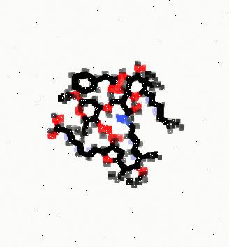 C/C=C/C=C/C1OC(O)(C(COC2CC(OC)OC(C)C2O)C(=O)NC/C=C/C=C(\C)C(OC)C(C)C2CC(O)C(/C=C/C=C/C=C/C(=O)O)O2)C(OC(=O)Cc2ccccc2)C(O)C1(C)C